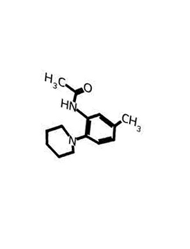 CC(=O)Nc1cc(C)ccc1N1CCCCC1